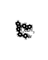 CC1(C)c2ccccc2-c2ccc(-n3c4ccccc4c4ccc(-c5cccc(-c6ccc(Br)cc6)c5)cc43)cc21